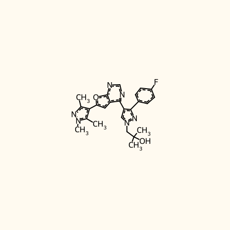 Cc1nn(C)c(C)c1-c1cc2c(-c3cn(CC(C)(C)O)nc3-c3ccc(F)cc3)ncnc2o1